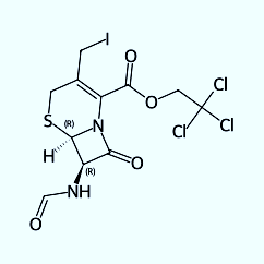 O=CN[C@@H]1C(=O)N2C(C(=O)OCC(Cl)(Cl)Cl)=C(CI)CS[C@H]12